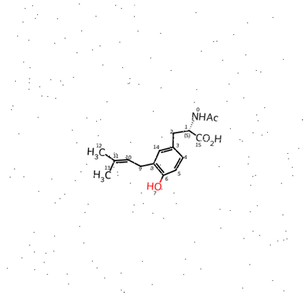 CC(=O)N[C@@H](Cc1ccc(O)c(CC=C(C)C)c1)C(=O)O